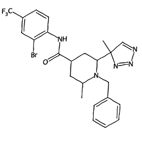 CC1CC(C(=O)Nc2ccc(C(F)(F)F)cc2Br)CC(C2(C)C=NN=N2)N1Cc1ccccc1